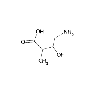 CC(C(=O)O)C(O)CN